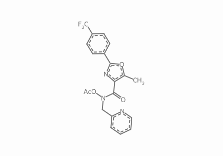 CC(=O)ON(Cc1ccccn1)C(=O)c1nc(-c2ccc(C(F)(F)F)cc2)oc1C